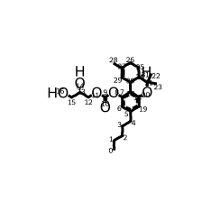 CCCCCc1cc(OC(=O)OC[C@@H](O)CO)c2c(c1)OC(C)(C)[C@@H]1CCC(C)=CC21